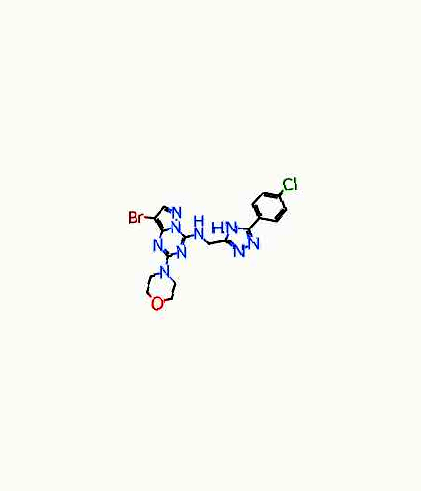 Clc1ccc(-c2nnc(CNc3nc(N4CCOCC4)nc4c(Br)cnn34)[nH]2)cc1